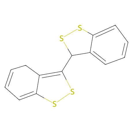 C1=CCC2=C(C3SSc4ccccc43)SSC2=C1